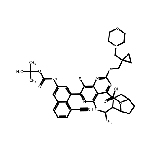 C#Cc1cccc2cc(NC(=O)OC(C)(C)C)cc(-c3nc4c5c(nc(OCC6(CN7CCOCC7)CC6)nc5c3F)N3CC5CCC(C3C(C)O4)N5C(=O)O)c12